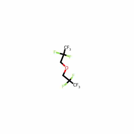 FC(F)(F)C(F)(F)COCC(F)(F)C(F)(F)F